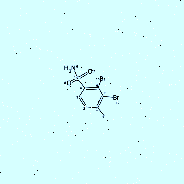 Cc1ccc(S(N)(=O)=O)c(Br)c1Br